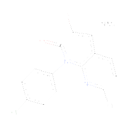 CNc1c(Br)c(=O)n(-c2ccc(Cl)cc2)c2nc(C(F)(F)F)ccc12